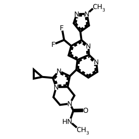 CNC(=O)N1CCn2c(C3CC3)nc(-c3ccnc4nc(-c5cnn(C)c5)c(C(F)F)cc34)c2C1